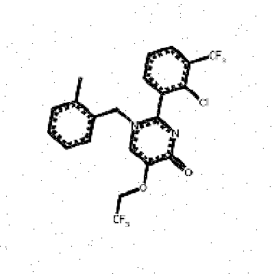 Cc1ccccc1Cn1cc(OCC(F)(F)F)c(=O)nc1-c1cccc(C(F)(F)F)c1Cl